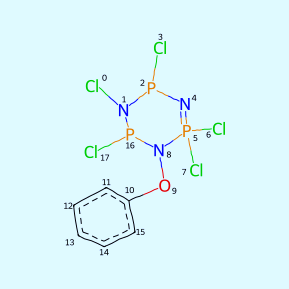 ClN1P(Cl)N=P(Cl)(Cl)N(Oc2ccccc2)P1Cl